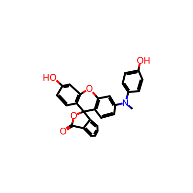 CN(c1ccc(O)cc1)c1ccc2c(c1)Oc1cc(O)ccc1C21OC(=O)c2ccccc21